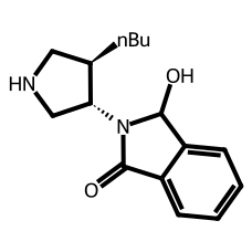 CCCC[C@@H]1CNC[C@H]1N1C(=O)c2ccccc2C1O